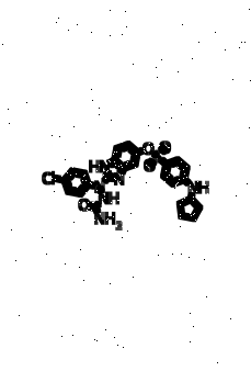 NC(=O)NN(c1ccc(Cl)cc1)c1nc2cc(OS(=O)(=O)c3ccc(NC4CCCC4)cc3)ccc2[nH]1